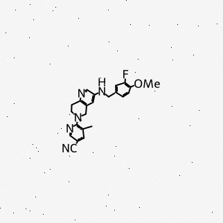 COc1ccc(CNc2cnc3c(c2)CN(c2ncc(C#N)cc2C)CC3)cc1F